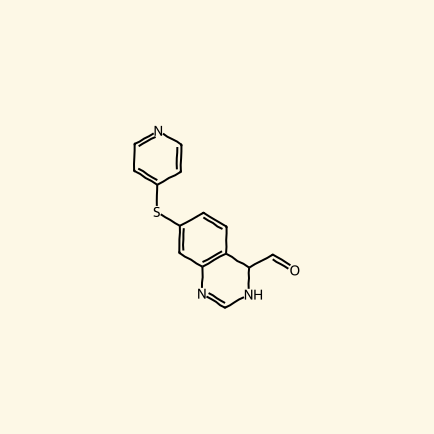 O=CC1NC=Nc2cc(Sc3ccncc3)ccc21